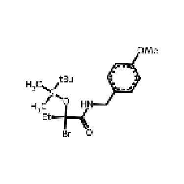 CC[C@@](Br)(O[Si](C)(C)C(C)(C)C)C(=O)NCc1ccc(OC)cc1